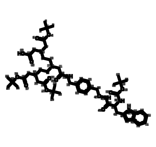 CC(C)(C)OC(=O)CN(CCN(CCN(CC(=O)OC(C)(C)C)CC(=O)OC(C)(C)C)CC(=O)NCc1ccc(CONC(=O)C(Cc2cc3ccccc3[nH]2)NC(=O)OC(C)(C)C)cc1)CC(=O)O